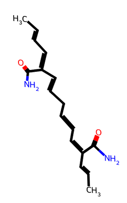 CC=CC=C(C=CCC=CC=C(C=CC)C(N)=O)C(N)=O